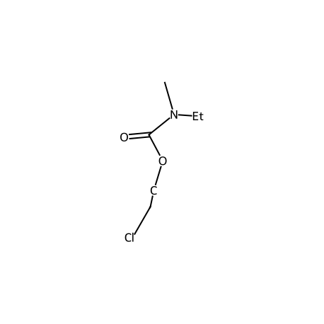 CCN(C)C(=O)OCCCl